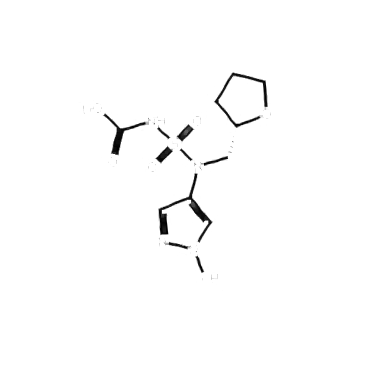 Cn1cc(N(C[C@@H]2CCCO2)S(=O)(=O)NC(=O)O)cn1